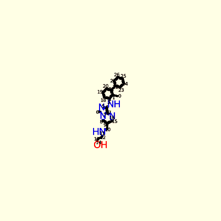 Cc1c(Nc2ncn3cc(CNCCO)cnc23)cccc1-c1ccccc1